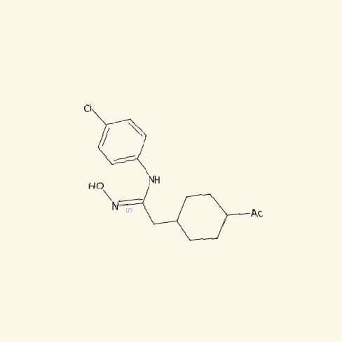 CC(=O)C1CCC(C/C(=N/O)Nc2ccc(Cl)cc2)CC1